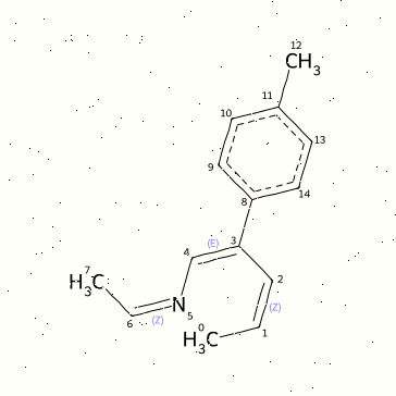 C\C=C/C(=C\N=C/C)c1ccc(C)cc1